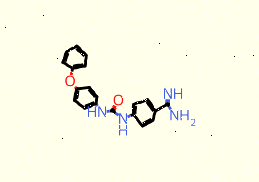 N=C(N)c1ccc(NC(=O)Nc2ccc(Oc3ccccc3)cc2)cc1